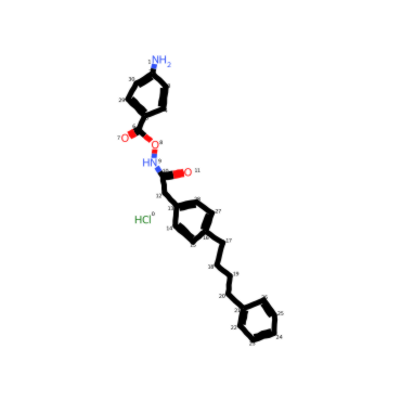 Cl.Nc1ccc(C(=O)ONC(=O)Cc2ccc(CCCCc3ccccc3)cc2)cc1